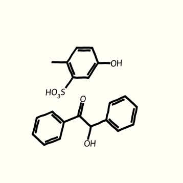 Cc1ccc(O)cc1S(=O)(=O)O.O=C(c1ccccc1)C(O)c1ccccc1